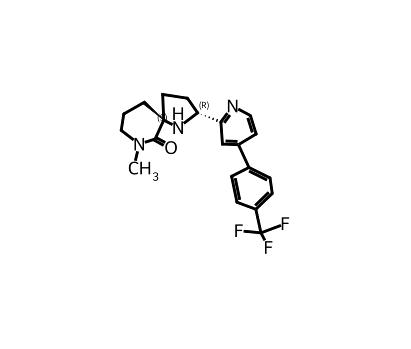 CN1CCC[C@]2(CC[C@H](c3cc(-c4ccc(C(F)(F)F)cc4)ccn3)N2)C1=O